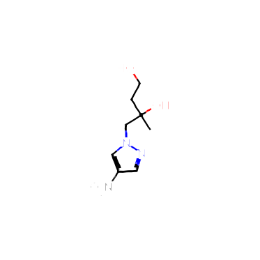 CC(O)(CCO)Cn1cc([N+](=O)[O-])cn1